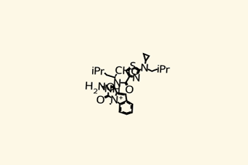 CC(C)C[C@@H]([C]=O)N(C(=O)C1=Cc2ccccc2[N+]1(C)C(=O)NN)C(=O)c1csc(N(CC(C)C)C2CC2)n1